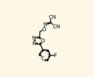 N#CC(C#N)=NOCc1nnc(-c2cccc(F)c2)o1